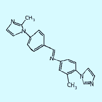 Cc1cc(/N=C/c2ccc(-n3ccnc3C)cc2)ccc1-n1ccnc1